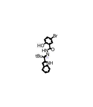 CC(C)(C)/C(=N\NC(=O)c1cc(Br)ccc1O)c1cc2ccccc2[nH]1